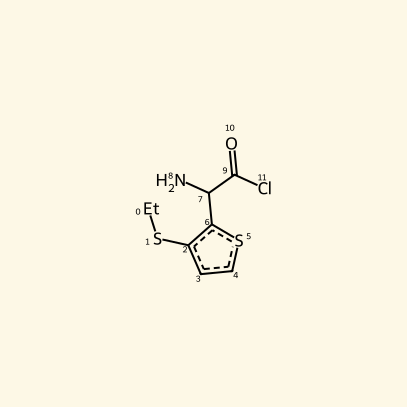 CCSc1ccsc1C(N)C(=O)Cl